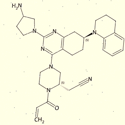 C=CC(=O)N1CCN(c2nc(N3CCC(N)C3)nc3c2CC[C@H](N2CCCc4ccccc42)C3)C[C@@H]1CC#N